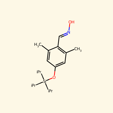 Cc1cc(O[Si](C(C)C)(C(C)C)C(C)C)cc(C)c1C=NO